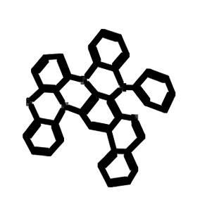 c1ccc(N2c3ccccc3B3c4cccc5c4N(c4ccccc4S5)c4cc5c(ncc6ccccc65)c2c43)cc1